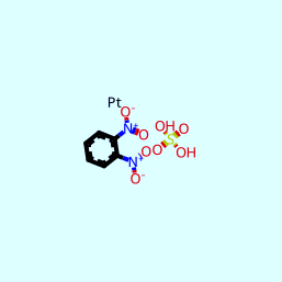 O=S(=O)(O)O.O=[N+]([O-])c1ccccc1[N+](=O)[O-].[Pt]